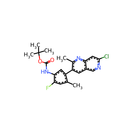 Cc1cc(F)c(NC(=O)OC(C)(C)C)cc1-c1cc2cnc(Cl)cc2nc1C